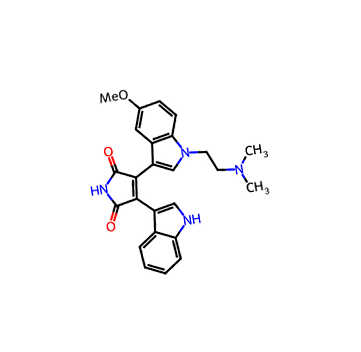 COc1ccc2c(c1)c(C1=C(c3c[nH]c4ccccc34)C(=O)NC1=O)cn2CCN(C)C